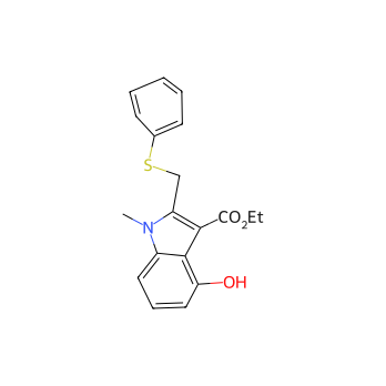 CCOC(=O)c1c(CSc2ccccc2)n(C)c2cccc(O)c12